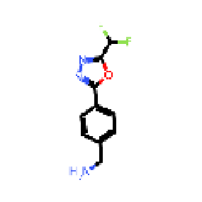 NCc1ccc(-c2nnc(C(F)F)o2)cc1